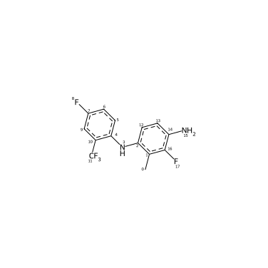 Cc1c(Nc2ccc(F)cc2C(F)(F)F)ccc(N)c1F